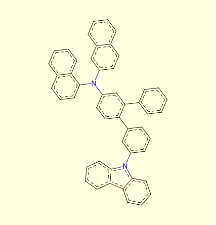 c1ccc(-c2cc(N(c3ccc4ccccc4c3)c3cccc4ccccc34)ccc2-c2cccc(-n3c4ccccc4c4ccccc43)c2)cc1